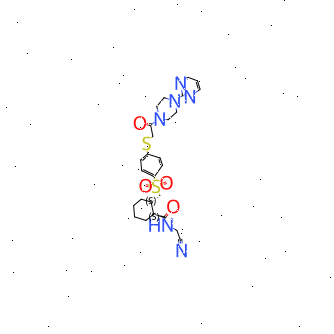 N#CCNC(=O)[C@H]1CCCC[C@@H]1CS(=O)(=O)c1ccc(SCC(=O)N2CCN(c3ncccn3)CC2)cc1